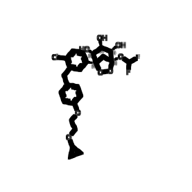 O[C@@H]1[C@@H](O)[C@@]2(c3ccc(Cl)c(Cc4ccc(OCCOC5CC5)cc4)c3)C[C@](OC(F)F)(OO2)[C@H]1O